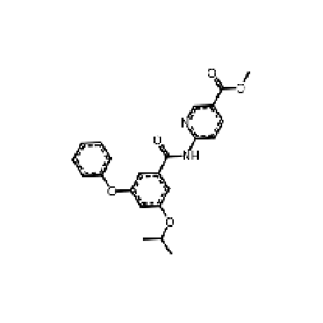 COC(=O)c1ccc(NC(=O)c2cc(Oc3ccccc3)cc(OC(C)C)c2)nc1